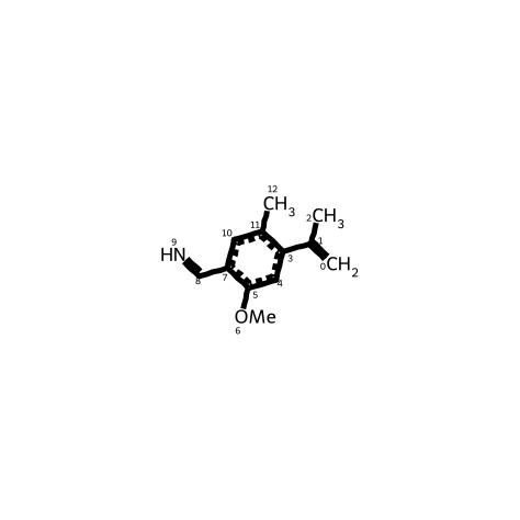 C=C(C)c1cc(OC)c(C=N)cc1C